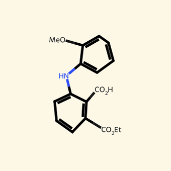 CCOC(=O)c1cccc(Nc2ccccc2OC)c1C(=O)O